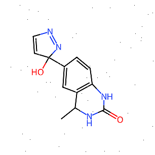 CC1NC(=O)Nc2ccc(C3(O)C=CN=N3)cc21